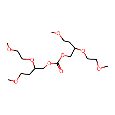 COCCOC(CCOC)COC(=O)OCC(CCOC)OCCOC